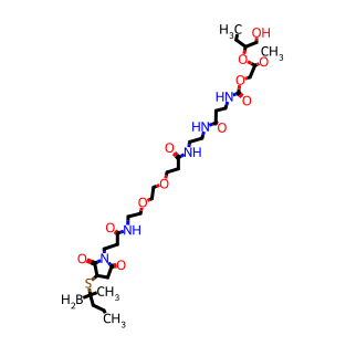 BC(C)(CCC)SC1CC(=O)N(CCC(=O)NCCOCCOCCC(=O)NCCNC(=O)CCNC(=O)OCC(OC)OC(CC)CO)C1=O